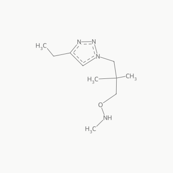 CCc1cn(CC(C)(C)CONC)nn1